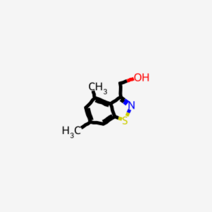 Cc1cc(C)c2c(CO)nsc2c1